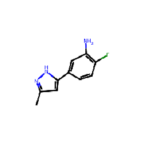 Cc1cc(-c2ccc(F)c(N)c2)[nH]n1